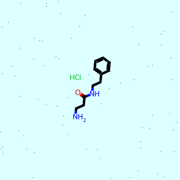 Cl.NCCC(=O)NCCc1ccccc1